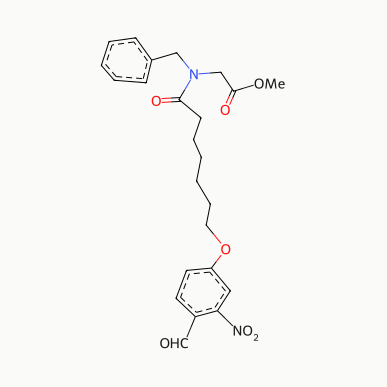 COC(=O)CN(Cc1ccccc1)C(=O)CCCCCCOc1ccc(C=O)c([N+](=O)[O-])c1